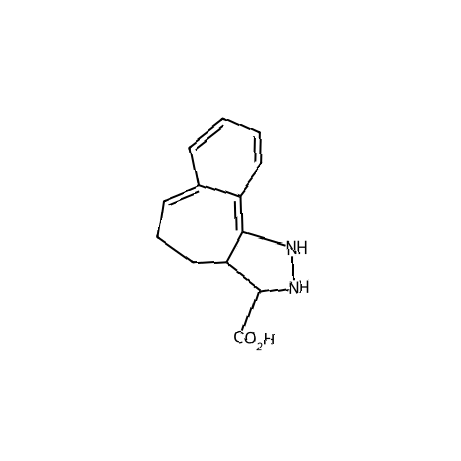 O=C(O)C1NNC2=c3ccccc3=CCCC21